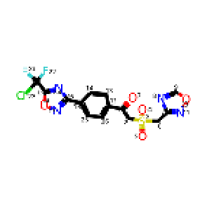 O=C(CS(=O)(=O)Cc1ncon1)c1ccc(-c2noc(C(F)(F)Cl)n2)cc1